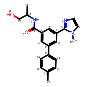 CCn1ccnc1-c1cc(C(=O)NC(C)CO)cc(-c2ccc(C)cc2)c1